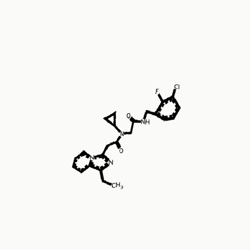 CCc1nc(CC(=O)N(CC(=O)NCc2cccc(Cl)c2F)C2CC2)n2ccccc12